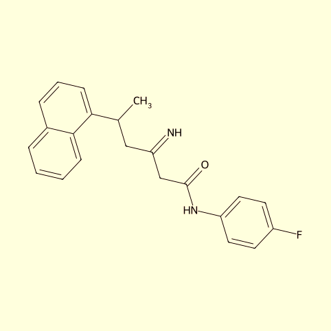 CC(CC(=N)CC(=O)Nc1ccc(F)cc1)c1cccc2ccccc12